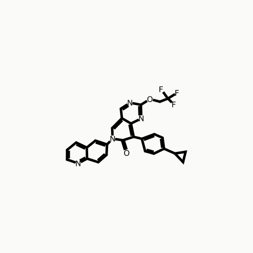 O=c1c(-c2ccc(C3CC3)cc2)c2nc(OCC(F)(F)F)ncc2cn1-c1ccc2ncccc2c1